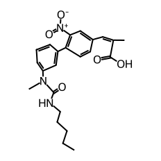 CCCCCNC(=O)N(C)c1cccc(-c2ccc(C=C(C)C(=O)O)cc2[N+](=O)[O-])c1